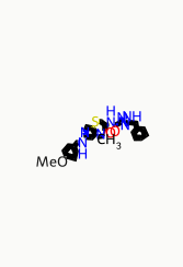 COc1ccc(CNc2cc3c(cn2)SC[C@H](NC(=O)c2n[nH]c(Cc4ccccc4)n2)C(=O)N3C)cc1